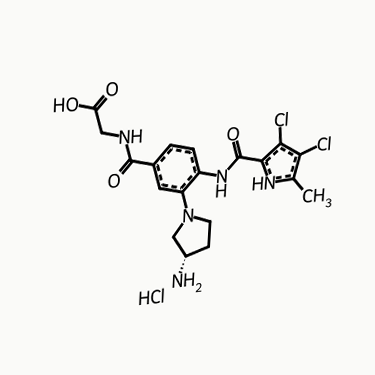 Cc1[nH]c(C(=O)Nc2ccc(C(=O)NCC(=O)O)cc2N2CC[C@H](N)C2)c(Cl)c1Cl.Cl